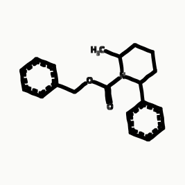 CC1CCCC(c2ccccc2)N1C(=O)OCc1ccccc1